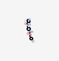 O=C(Nc1ccc(CNC(=O)c2ccncc2F)cc1)OCc1ccc(Cl)cc1